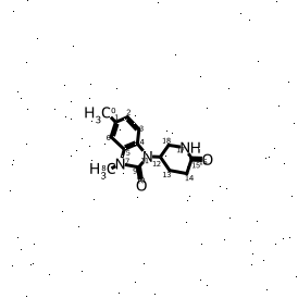 Cc1ccc2c(c1)n(C)c(=O)n2C1CCC(=O)NC1